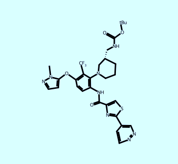 Cn1nccc1Oc1ccc(NC(=O)c2csc(-c3ccnnc3)n2)c(N2CCC[C@@H](CNC(=O)OC(C)(C)C)C2)c1C(F)(F)F